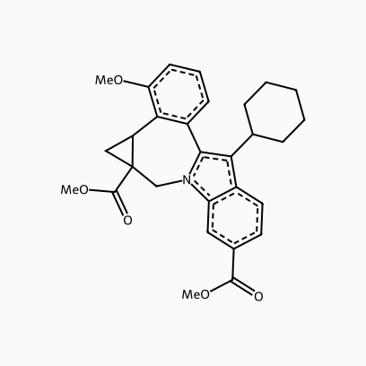 COC(=O)c1ccc2c(C3CCCCC3)c3n(c2c1)CC1(C(=O)OC)CC1c1c(OC)cccc1-3